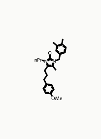 CCCn1c(CCCc2ccc(OC)cc2)c(C)n(Cc2ccc(C)c(C)c2)c1=O